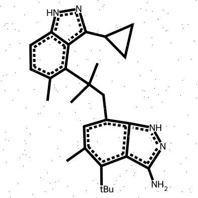 Cc1ccc2[nH]nc(C3CC3)c2c1C(C)(C)Cc1cc(C)c(C(C)(C)C)c2c(N)n[nH]c12